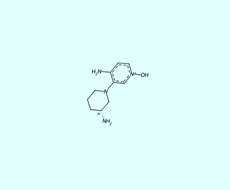 Nc1cc[n+](O)cc1N1CCC[C@@H](N)C1